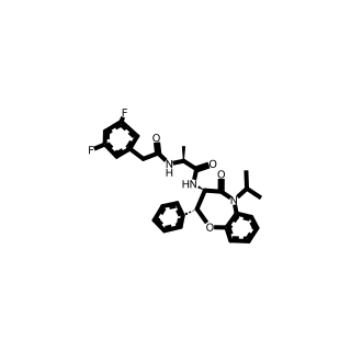 CC(C)N1C(=O)[C@@H](NC(=O)[C@H](C)NC(=O)Cc2cc(F)cc(F)c2)[C@@H](c2ccccc2)Oc2ccccc21